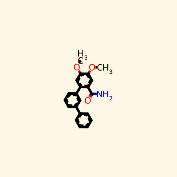 COc1cc(C(N)=O)c(-c2cccc(-c3ccccc3)c2)cc1OC